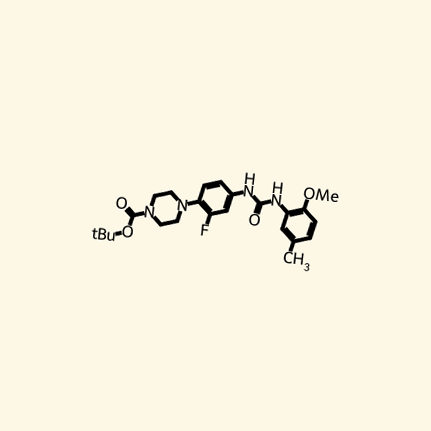 COc1ccc(C)cc1NC(=O)Nc1ccc(N2CCN(C(=O)OC(C)(C)C)CC2)c(F)c1